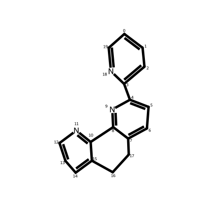 c1ccc(-c2ccc3c(n2)-c2ncccc2CC3)nc1